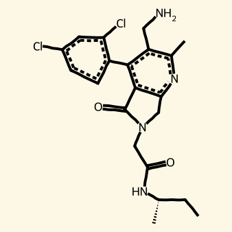 CC[C@H](C)NC(=O)CN1Cc2nc(C)c(CN)c(-c3ccc(Cl)cc3Cl)c2C1=O